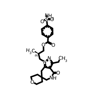 CCc1nn(C[C@@H](C)COC(=O)c2ccc(S(N)(=O)=O)cc2)c2c1C(=O)NCC1(CCOCC1)C2